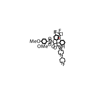 COc1ccc(S(=O)(=O)N2C(=O)C(C(=O)NN3CCN(C4CCN(C)CC4)CC3)(c3ccccc3OCC(F)F)c3cc(Cl)c(F)cc32)c(OC)c1